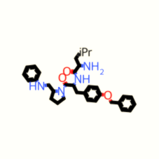 CC(C)CC(N)C(=O)NC(Cc1ccc(OCc2ccccc2)cc1)C(=O)N1CCCC1CNc1ccccc1